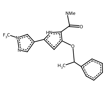 CNC(=O)c1[nH]c(-c2cnn(C(F)(F)F)c2)cc1OC(C)c1ccccc1